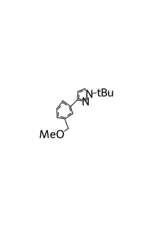 COCc1cccc(-c2ccn(C(C)(C)C)n2)c1